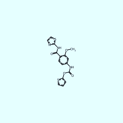 COc1cc(NC(=O)Oc2cccs2)ccc1C(=O)Nc1nccs1